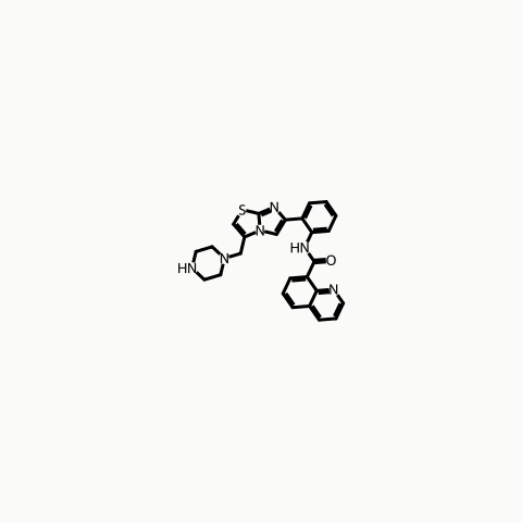 O=C(Nc1ccccc1-c1cn2c(CN3CCNCC3)csc2n1)c1cccc2cccnc12